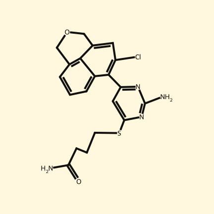 NC(=O)CCCSc1cc(-c2c(Cl)cc3c4c(cccc24)COC3)nc(N)n1